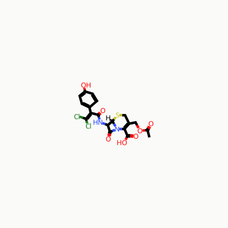 CC(=O)OCC1=C(C(=O)O)N2C(=O)C(NC(=O)C(=C(Cl)Cl)c3ccc(O)cc3)[C@@H]2SC1